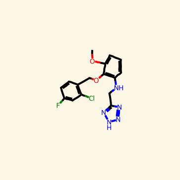 COc1cccc(NCc2nn[nH]n2)c1OCc1ccc(F)cc1Cl